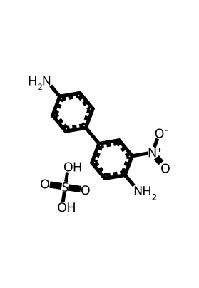 Nc1ccc(-c2ccc(N)c([N+](=O)[O-])c2)cc1.O=S(=O)(O)O